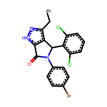 CC(C)Cc1n[nH]c2c1C(c1c(Cl)cccc1Cl)N(c1ccc(Br)cc1)C2=O